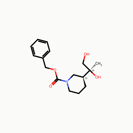 C[C@@](O)(CO)[C@H]1CCCN(C(=O)OCc2ccccc2)C1